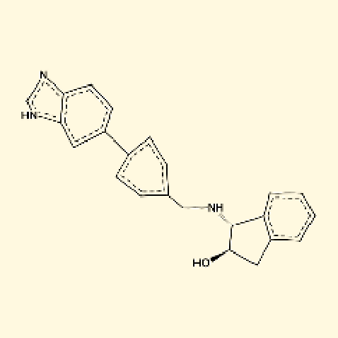 O[C@@H]1Cc2ccccc2[C@H]1NCc1ccc(-c2ccc3nc[nH]c3c2)cc1